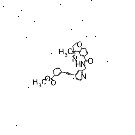 COC(=O)c1cccc(C#Cc2ccnc(CNC(=O)c3ccc4c(c3)[C@](C)(C#N)CCO4)c2)c1